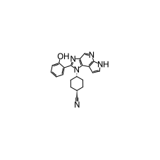 N#C[C@H]1CC[C@H](n2c(-c3ccccc3O)nc3cnc4[nH]ccc4c32)CC1